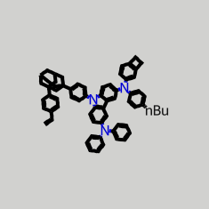 C=Cc1ccc(C23CC4CC(C2)CC(c2ccc(-n5c6ccc(N(c7ccccc7)c7ccccc7)cc6c6cc(N(c7ccc(CCCC)cc7)c7ccc8c(c7)CC8)ccc65)cc2)(C4)C3)cc1